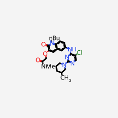 CCCCn1c(=O)c(OCC(=O)NC)cc2cc(Nc3nc(N4CCCC(C)C4)ncc3Cl)ccc21